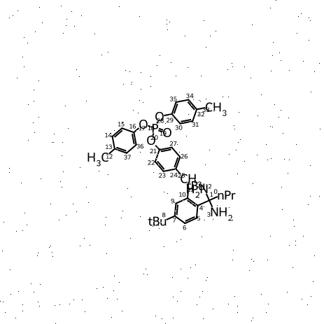 CCCC(N)(N)c1ccc(C(C)(C)C)cc1C(C)(C)C.Cc1ccc(OP(=O)(Oc2ccc(C)cc2)Oc2ccc(C)cc2)cc1